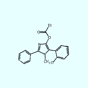 CCC(=O)Oc1nc(-c2ccccc2)n(C)c1-c1ccccc1Cl